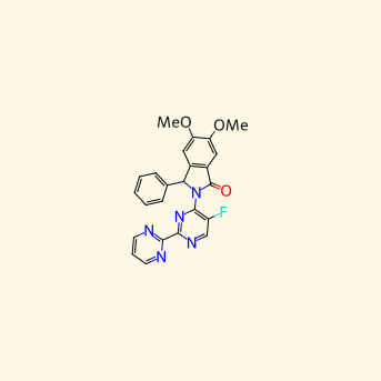 COc1cc2c(cc1OC)C(c1ccccc1)N(c1nc(-c3ncccn3)ncc1F)C2=O